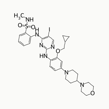 CNS(=O)(=O)c1ccccc1Nc1nc(Nc2ccc(N3CCC(N4CCOCC4)CC3)cc2OCC2CC2)ncc1I